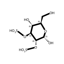 O=S(=O)(O)O[C@@H]1[C@@H](OS(=O)(=O)O)[C@H](O)[C@@H](CO)O[C@@H]1O